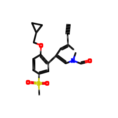 C#C/C(C)=C/C(=C\N(C)C=O)c1cc(S(C)(=O)=O)ccc1OCC1CC1